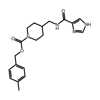 Cc1ccc(COC(=O)N2CCC(CNC(=O)c3c[nH]cn3)CC2)cc1